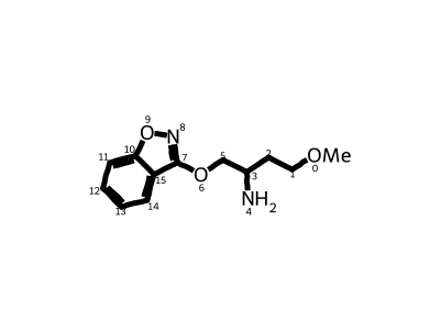 COCCC(N)COc1noc2ccccc12